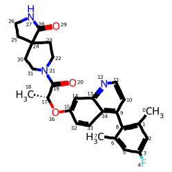 Cc1cc(F)cc(C)c1-c1ccnc2cc(O[C@H](C)C(=O)N3CCC4(CCNC4=O)CC3)ccc12